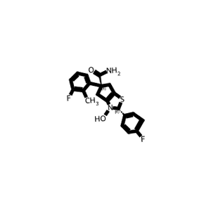 Cc1c(F)cccc1[C@]1(C(N)=O)CC2=C(C1)N(O)[C@@H](c1ccc(F)cc1)S2